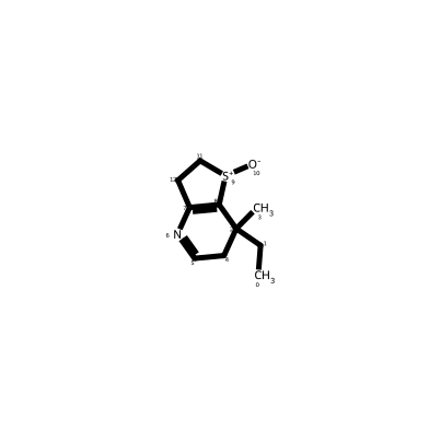 CCC1(C)CC=NC2=C1[S+]([O-])CC2